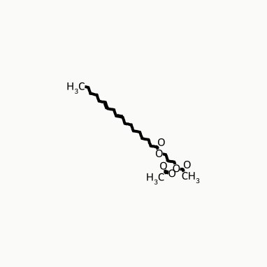 CCCCCC=CCC=CCCCCCCCC(=O)OCC(COC(C)=O)OC(C)=O